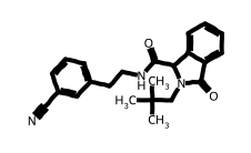 CC(C)(C)CN1C(=O)c2ccccc2C1C(=O)NCCc1cccc(C#N)c1